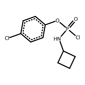 O=P(Cl)(NC1CCC1)Oc1ccc(Cl)cc1